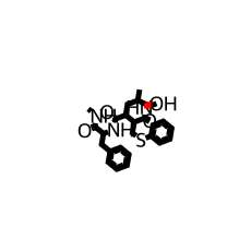 CNC(=O)C(Cc1ccccc1)NC(=O)C(CC(C)C)C(CSc1ccccc1)C(=O)NO